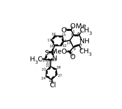 COC(=O)C1=C(C)NC(C)=C(C(=O)OC)C1c1cccc(-c2nc(-c3ccc(Cl)cc3)c(C)s2)c1